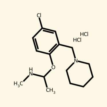 CNC(C)Oc1ccc(Cl)cc1CN1CCCCC1.Cl.Cl